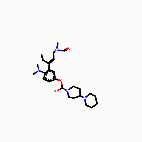 CC/C(=C\CN(C)C=O)c1cc(OC(O)N2CCC(N3CCCCC3)CC2)ccc1N(C)C